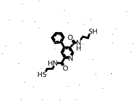 O=C(NCCS)c1cc(-c2ccccc2)c(C(=O)NCCS)cn1